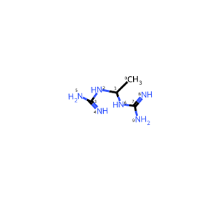 CC(NC(=N)N)NC(=N)N